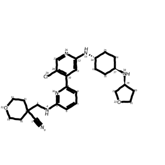 N#CC1(CNc2cccc(-c3cc(N[C@H]4CC[C@H](N[C@H]5CCOC5)CC4)ncc3Cl)n2)CCOCC1